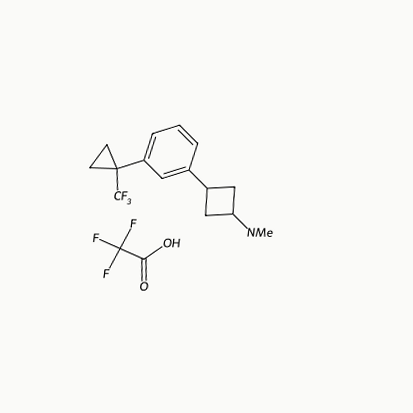 CNC1CC(c2cccc(C3(C(F)(F)F)CC3)c2)C1.O=C(O)C(F)(F)F